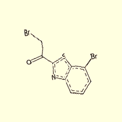 O=C(CBr)c1nc2cccc(Br)c2s1